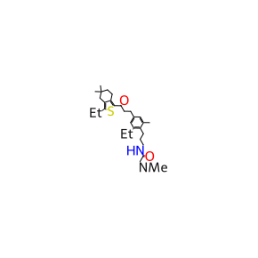 CCc1cc(CCC(=O)c2sc(CC)c3c2CCC(C)(C)C3)cc(C)c1CCCNC(=O)CNC